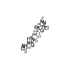 Cn1cc(S(=O)(=O)C(C)(C)C2CCN(C(=O)Nc3ccon3)CC2)c(Cl)n1